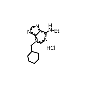 CCNc1ncn(CC2CCCCC2)c2ncnc1-2.Cl